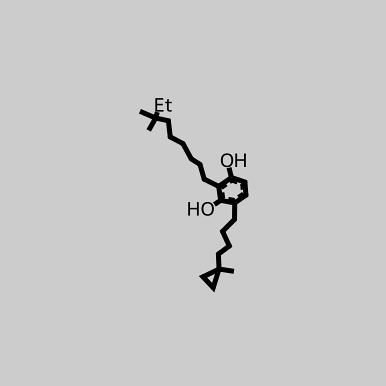 CCC(C)(C)CCCCCCc1c(O)ccc(CCCCC2(C)CC2)c1O